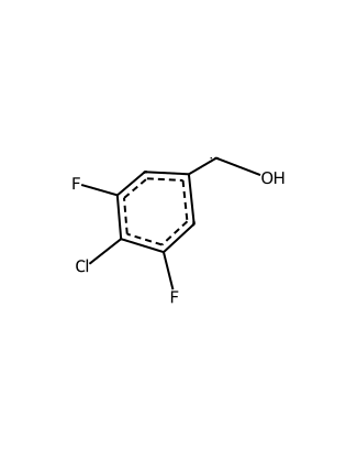 O[CH]c1cc(F)c(Cl)c(F)c1